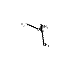 CCCCCCCCCCCCOc1cc(OCCCCCCCCCCCC)cc(C(N)=O)c1